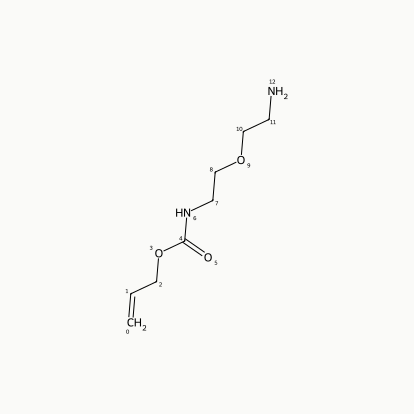 C=CCOC(=O)NCCOCCN